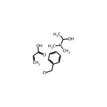 C=CC(=O)O.CC(O)N(C)C.ClCc1ccccc1